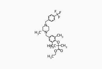 CCOC(=O)C(C)(C)Oc1c(C)cc(CN2CCN(Cc3ccc(C(F)(F)F)cc3)C[C@H]2C)cc1C